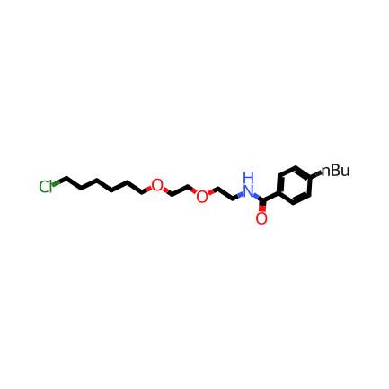 CCCCc1ccc(C(=O)NCCOCCOCCCCCCCl)cc1